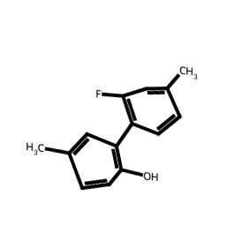 Cc1ccc(-c2cc(C)ccc2O)c(F)c1